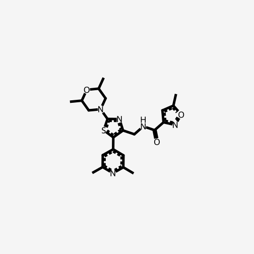 Cc1cc(-c2sc(N3CC(C)OC(C)C3)nc2CNC(=O)c2cc(C)on2)cc(C)n1